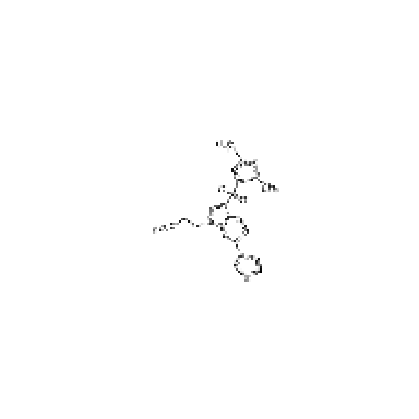 Cc1cc(S(=O)(=O)n2cc(CCC(=O)O)c3cc(-c4ccsc4)ccc32)c(C)s1